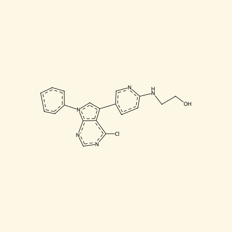 OCCNc1ccc(-c2cn(-c3ccccc3)c3ncnc(Cl)c23)cn1